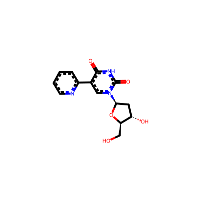 O=c1[nH]c(=O)n([C@H]2C[C@H](O)[C@@H](CO)O2)cc1-c1ccccn1